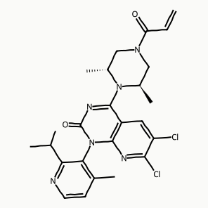 C=CC(=O)N1C[C@@H](C)N(c2nc(=O)n(-c3c(C)ccnc3C(C)C)c3nc(Cl)c(Cl)cc23)[C@H](C)C1